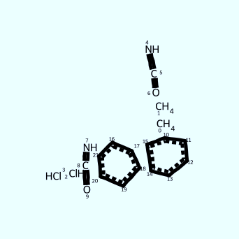 C.C.Cl.Cl.N=C=O.N=C=O.c1ccccc1.c1ccccc1